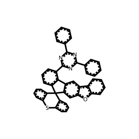 c1ccc(-c2nc(-c3ccccc3)nc(-c3cccc4c3-c3cc5c(cc3C43c4ccccc4Sc4ccccc43)oc3ccccc35)n2)cc1